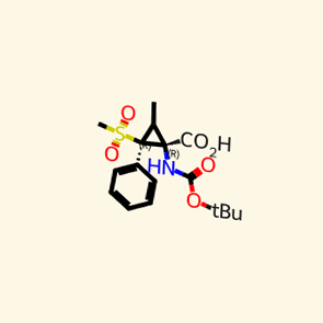 CC1[C@](c2ccccc2)(S(C)(=O)=O)[C@]1(NC(=O)OC(C)(C)C)C(=O)O